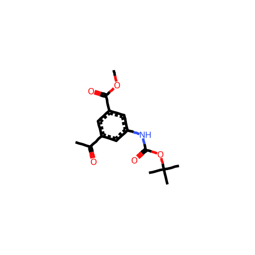 COC(=O)c1cc(NC(=O)OC(C)(C)C)cc(C(C)=O)c1